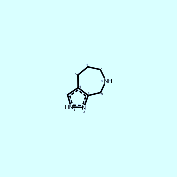 c1[nH]nc2c1CCCNC2